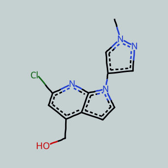 Cn1cc(-n2ccc3c(CO)cc(Cl)nc32)cn1